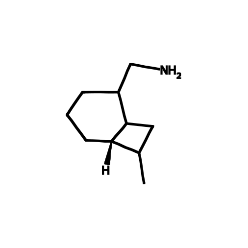 CC1CC2C(CN)CCC[C@@H]12